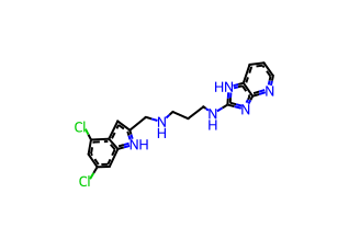 Clc1cc(Cl)c2cc(CNCCCNc3nc4ncccc4[nH]3)[nH]c2c1